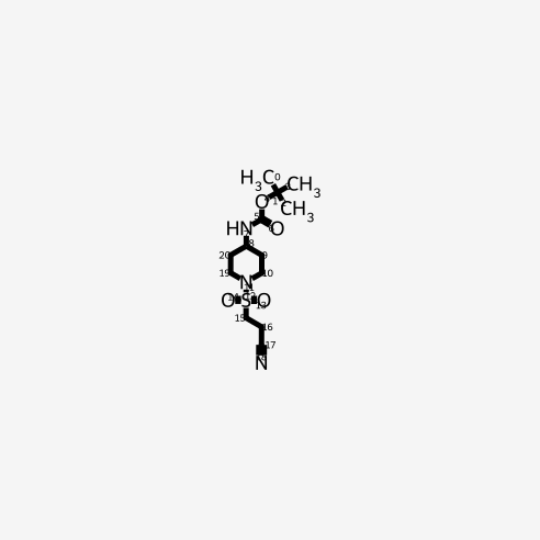 CC(C)(C)OC(=O)NC1CCN(S(=O)(=O)CCC#N)CC1